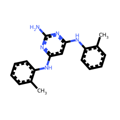 Cc1ccccc1Nc1cc(Nc2ccccc2C)nc(N)n1